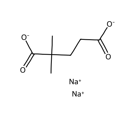 CC(C)(CCC(=O)[O-])C(=O)[O-].[Na+].[Na+]